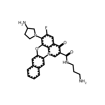 NCCCNC(=O)c1cn2c3c(c(N4CCC(N)C4)c(F)cc3c1=O)Oc1cc3ccccc3cc1-2